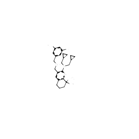 CC1(C)CCCc2cc(CNCc3cc(C(F)(F)F)cc(C(F)(F)F)c3)c(N(CC3CC3)CC3CC3)nc21